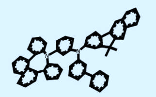 CC1(C)c2cc(N(c3cccc(-c4ccccc4)c3)c3cccc(N4c5ccccc5-c5cccc6cccc(c56)-c5ccccc54)c3)ccc2-c2cc3ccccc3cc21